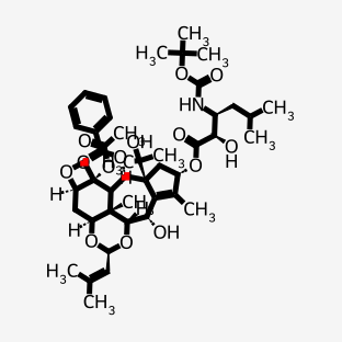 CC(=O)O[C@@]12CO[C@@H]1C[C@@H]1O[C@H](C=C(C)C)O[C@H]3[C@@H](O)C4=C(C)[C@@H](OC(=O)[C@H](O)[C@H](CC(C)C)NC(=O)OC(C)(C)C)C[C@@]4(C(C)(C)O)[C@@H](OC(=O)c4ccccc4)[C@H]2[C@@]13C